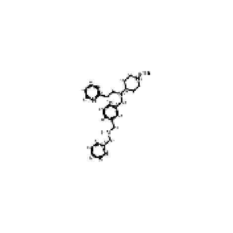 CCCCN1CCC(N(CCc2ccccn2)Cc2cccc(CNCc3ccccn3)c2)CC1